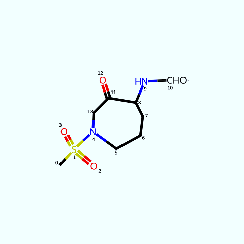 CS(=O)(=O)N1CCCC(N[C]=O)C(=O)C1